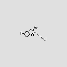 CC(=O)C(=Cc1cccc(F)c1)C(=O)CCCCCl